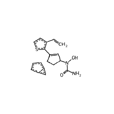 C=Cc1ccsc1C1=CC(N(O)C(N)=O)CC1.c1cc2cc-2c1